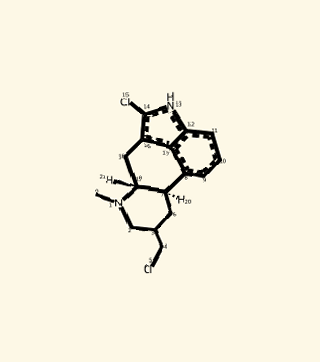 CN1CC(CCl)C[C@@H]2c3cccc4[nH]c(Cl)c(c34)C[C@H]21